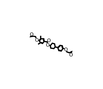 Cc1cc(C(=O)OC2CCC(c3ccc(OCC4CO4)cc3)CC2)cc(C)c1OCC1CO1